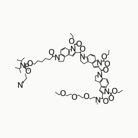 CCOCCOCCOCCN(C)C(=O)c1cc2c3c(ccc2n1C(=O)OCC)N(C(=O)c1cc2c4c(ccc2n1C(=O)OCC)N(C(=O)c1cc2c5c(ccc2n1C(=O)OCC)N(C(=O)CCCCCOP(OCCC#N)N(C(C)C)C(C)C)CC5)CC4)CC3